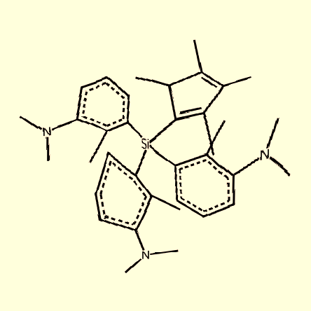 CC1=C(C)C(C)C([Si](c2cccc(N(C)C)c2C)(c2cccc(N(C)C)c2C)c2cccc(N(C)C)c2C)=C1C